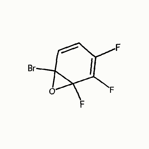 FC1=C(F)C2(F)OC2(Br)C=C1